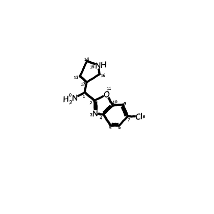 NC(c1nc2ccc(Cl)cc2o1)C1CCNC1